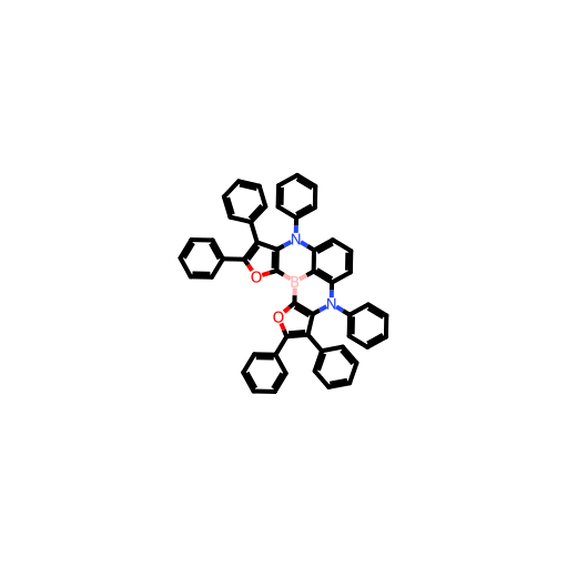 c1ccc(-c2oc3c(c2-c2ccccc2)N(c2ccccc2)c2cccc4c2B3c2oc(-c3ccccc3)c(-c3ccccc3)c2N4c2ccccc2)cc1